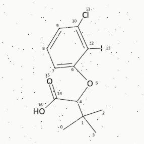 CC(C)(C)C(Oc1cccc(Cl)c1I)C(=O)O